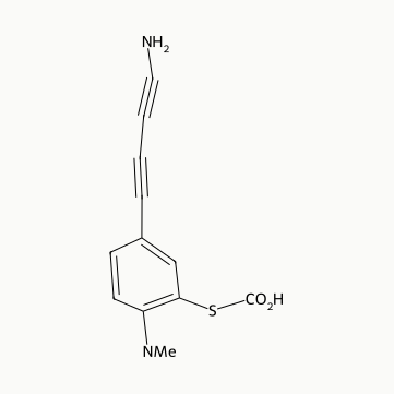 CNc1ccc(C#CC#CN)cc1SC(=O)O